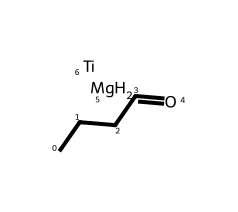 CCCC=O.[MgH2].[Ti]